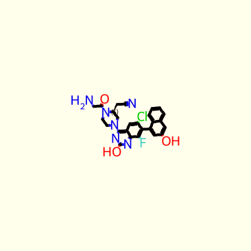 N#CC[C@H]1CN(c2nc(O)nc3c(F)c(-c4cc(O)cc5ccccc45)c(Cl)cc23)CCN1C(=O)CN